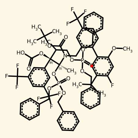 COc1cc(F)c(C(C)C)cc1-c1ccc(C(F)(F)F)cc1CN(C(=O)OC(C)(C)C)[C@@](C)(OP(=O)(OCc1ccccc1)OCc1ccccc1)[C@](OC(=O)O)(c1cc(C(F)(F)F)cc(C(F)(F)F)c1)C(C)COP(=O)(OCc1ccccc1)OCc1ccccc1